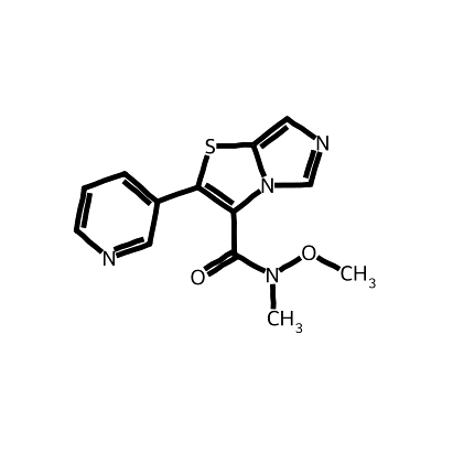 CON(C)C(=O)c1c(-c2cccnc2)sc2cncn12